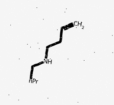 C=CCCNCCCC